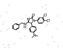 CN(C)c1ccc(C2C(NCc3ccccc3)=NC(=O)N2c2ccc(Cl)c(Cl)c2)cc1